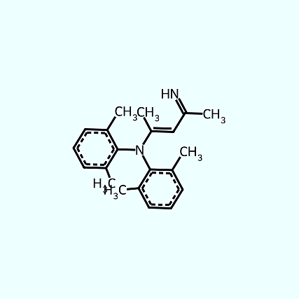 CC(=N)C=C(C)N(c1c(C)cccc1C)c1c(C)cccc1C